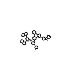 c1ccc(-c2ccc3c(c2)c2cc4c5cc(-c6ccc7sc8ccccc8c7c6)ccc5c5ccccc5c4cc2n3-c2cc(-c3cccc4ccccc34)nc(-c3cccc4ccccc34)c2)cc1